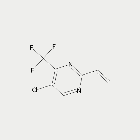 C=Cc1ncc(Cl)c(C(F)(F)F)n1